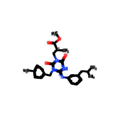 COC(=O)[C@@H](C)Cn1c(=O)[nH]/c(=N\c2cccc(CC(C)C)c2)n(Cc2ccc(C)cc2)c1=O